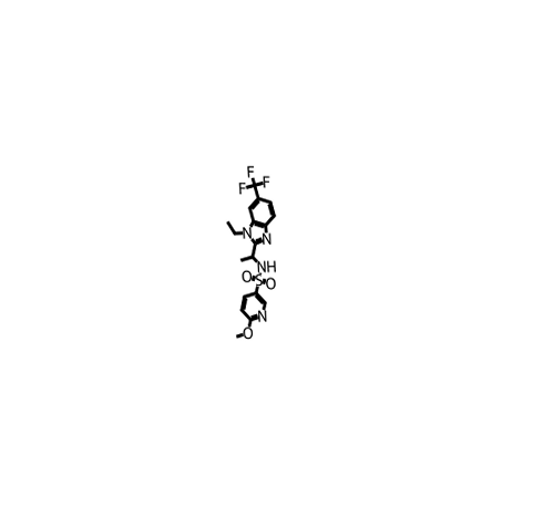 CCn1c(C(C)NS(=O)(=O)c2ccc(OC)nc2)nc2ccc(C(F)(F)F)cc21